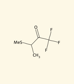 [CH2]SC(C)C(=O)C(F)(F)F